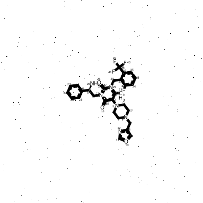 Cc1c(N2CCN(Cc3cocn3)CC2)c(=O)n(C[C@H](N)c2ccccc2)c(=O)n1Cc1c(F)cccc1C(F)(F)F